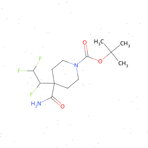 CC(C)(C)OC(=O)N1CCC(C(N)=O)(C(F)C(F)F)CC1